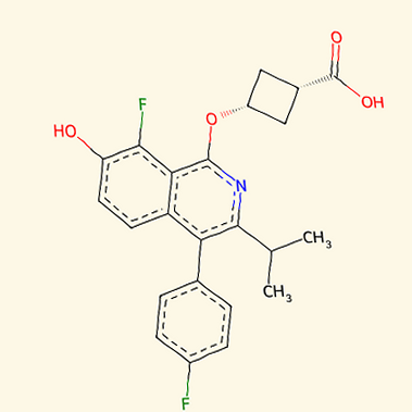 CC(C)c1nc(O[C@H]2C[C@@H](C(=O)O)C2)c2c(F)c(O)ccc2c1-c1ccc(F)cc1